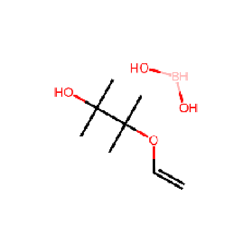 C=COC(C)(C)C(C)(C)O.OBO